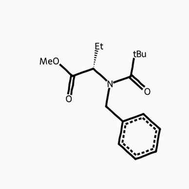 CC[C@@H](C(=O)OC)N(Cc1ccccc1)C(=O)C(C)(C)C